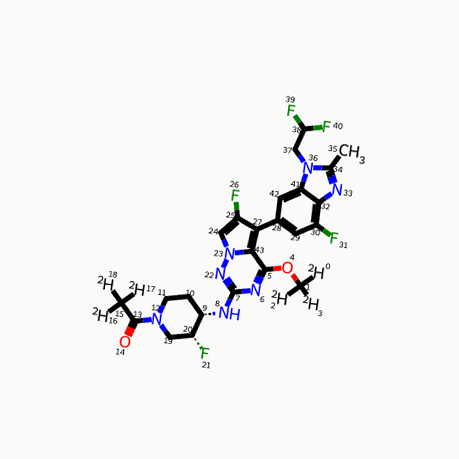 [2H]C([2H])([2H])Oc1nc(N[C@H]2CCN(C(=O)C([2H])([2H])[2H])C[C@H]2F)nn2cc(F)c(-c3cc(F)c4nc(C)n(CC(F)F)c4c3)c12